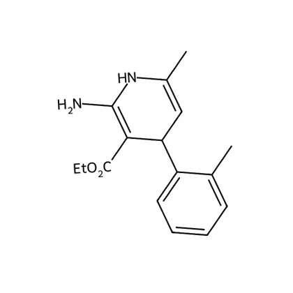 CCOC(=O)C1=C(N)NC(C)=CC1c1ccccc1C